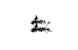 CC(C)c1nc(N(C)S(C)(=O)=O)nc(-c2ccc(F)cc2)c1C=C[C@@H](O)C[C@@H](O)CC(=O)O.CC(C)c1nc(N(C)S(C)(=O)=O)nc(-c2ccc(F)cc2)c1C=C[C@@H](O)C[C@@H](O)CC(=O)O.CCCCN.[CaH2]